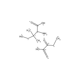 CC(C)(CO)C(N)C(=O)O.CCC(=O)C(=O)O